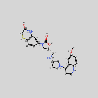 COc1ccc2nccc(N3CC[C@H](NC[C@@H]4CN(c5ccc6c(c5)NC(=O)CS6)C(=O)O4)C3)c2c1